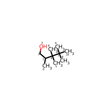 CC(CO)C(C)(C)C(C)(C)C